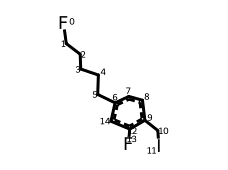 FCCCCCc1ccc(CI)c(F)c1